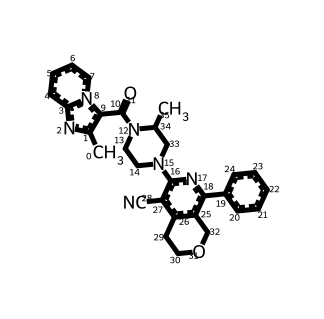 Cc1nc2ccccn2c1C(=O)N1CCN(c2nc(-c3ccccc3)c3c(c2C#N)CCOC3)CC1C